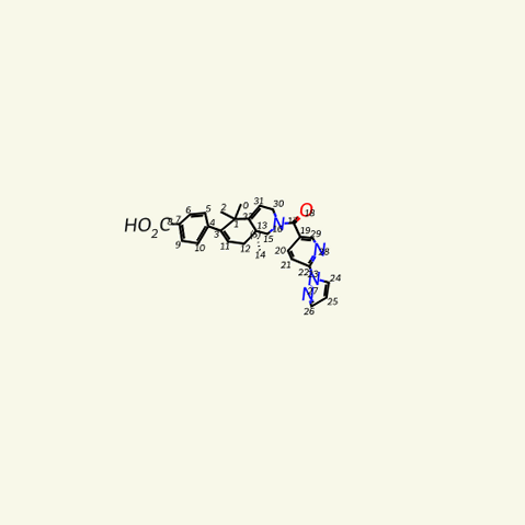 CC1(C)C(c2ccc(C(=O)O)cc2)=CC[C@]2(C)CN(C(=O)c3ccc(-n4cccn4)nc3)CC=C12